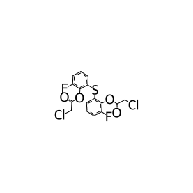 O=C(CCl)Oc1c(F)cccc1Sc1cccc(F)c1OC(=O)CCl